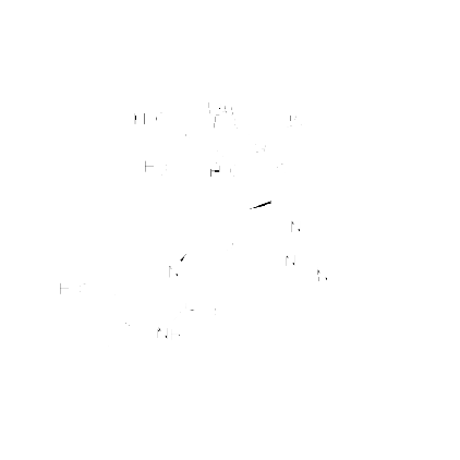 Cc1cn([C@H]2C[C@H](O[Si](C)(C)C(C)(C)C)[C@@H](C(O[Si](C)(C)C(C)(C)C)n3nnc4ccccc43)O2)c(=O)[nH]c1=O